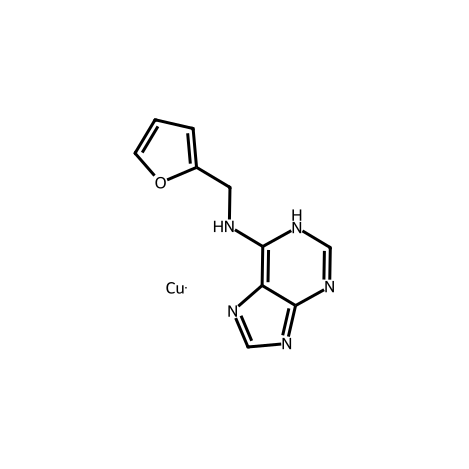 [Cu].c1coc(CNc2[nH]cnc3ncnc2-3)c1